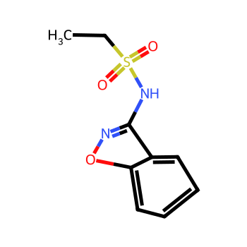 CCS(=O)(=O)Nc1noc2ccccc12